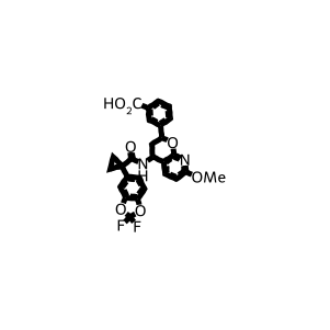 COc1ccc2c(n1)OC(c1cccc(C(=O)O)c1)CC2NC(=O)C1(c2ccc3c(c2)OC(F)(F)O3)CC1